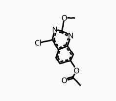 COc1nc(Cl)c2ccc(OC(C)=O)cc2n1